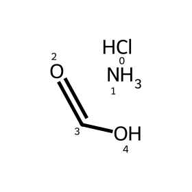 Cl.N.O=CO